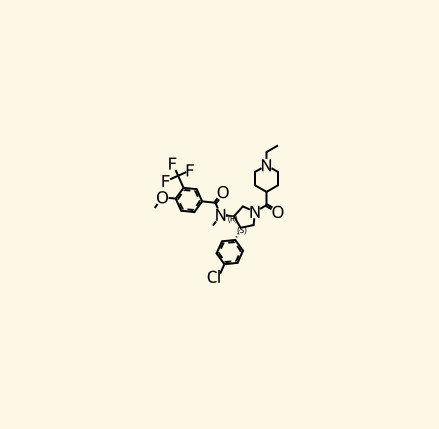 CCN1CCC(C(=O)N2C[C@H](c3ccc(Cl)cc3)[C@@H](N(C)C(=O)c3ccc(OC)c(C(F)(F)F)c3)C2)CC1